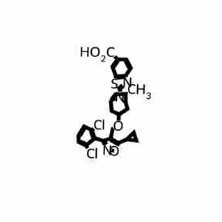 C[C@@H]1CC2CC(OCc3c(-c4c(Cl)cccc4Cl)noc3C3CC3)CC1N2c1nc2ccc(C(=O)O)cc2s1